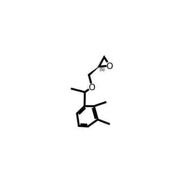 Cc1cccc(C(C)OC[C@H]2CO2)c1C